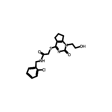 O=C(CSc1nc(=O)n(CCO)c2c1CCC2)NCc1ccccc1Cl